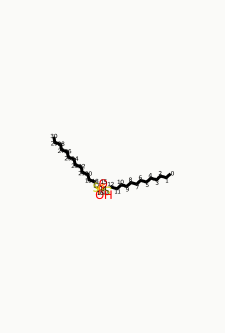 CCCCCCCCCCCCCSP(=O)(O)SCCCCCCCCCCCCC